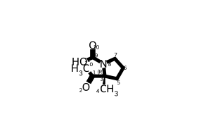 CC(=O)[C@@]1(C)CCCN1C(=O)O